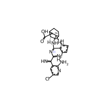 N=C(/N=C(/N[C@H]1C2CCC(CC2)[C@@H]1C(=O)O)c1[nH]ccc1F)C(=N)c1cc(Cl)cnc1N